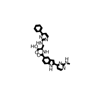 CNc1nccc(-c2cc3cc(C(=O)NC(CNc4nccc(-c5ccccc5)n4)C(=O)O)ccc3[nH]2)n1